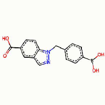 O=C(O)c1ccc2c(cnn2Cc2ccc(B(O)O)cc2)c1